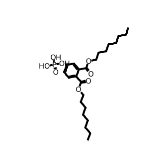 CCCCCCCCOC(=O)c1ccccc1C(=O)OCCCCCCCC.O=P(O)(O)O